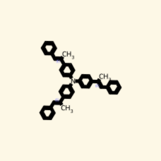 C/C(=C\c1ccccc1)c1ccc(N(c2ccc(/C(C)=C/c3ccccc3)cc2)c2ccc(/C(C)=C/c3ccccc3)cc2)cc1